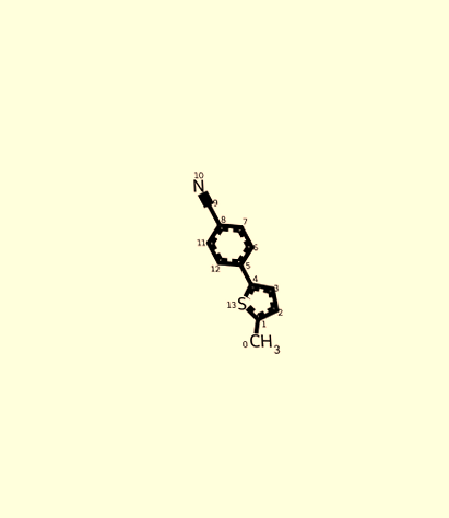 Cc1ccc(-c2ccc(C#N)cc2)s1